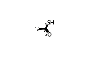 [C]C(=O)S